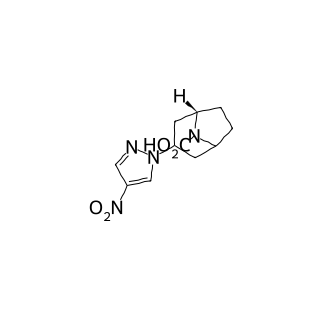 O=C(O)N1C2CC[C@H]1CC(n1cc([N+](=O)[O-])cn1)C2